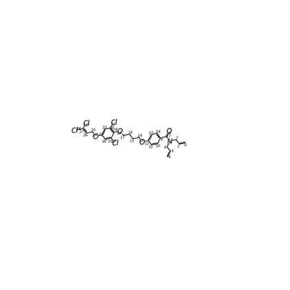 C=CCN(CC=C)C(=O)c1ccc(OCCCCOc2c(Cl)cc(OCC=C(Cl)Cl)cc2Cl)cc1